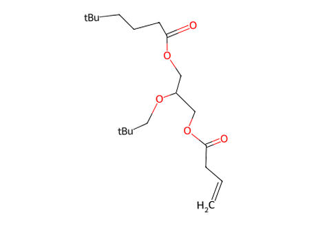 C=CCC(=O)OCC(COC(=O)CCCC(C)(C)C)OCC(C)(C)C